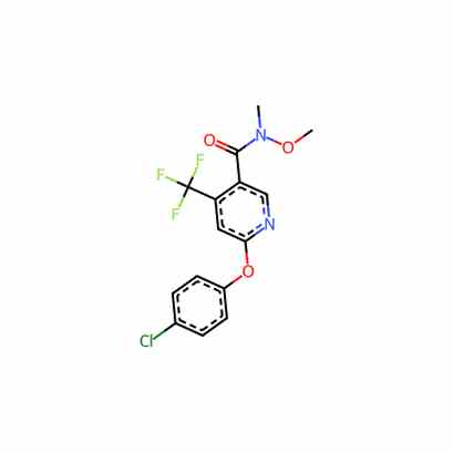 CON(C)C(=O)c1cnc(Oc2ccc(Cl)cc2)cc1C(F)(F)F